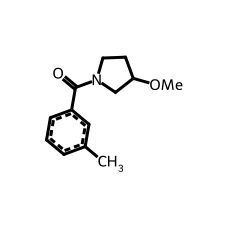 COC1CCN(C(=O)c2cccc(C)c2)C1